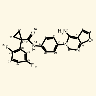 NC1=c2ccoc2=NCN1c1ccc(NC(=O)C2(c3cc(F)ccc3F)CC2)cc1